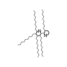 CCCCCCCCCc1cccnc1-c1nc(CCCCCCCCC)c(CCCCCCCCC)c(CCCCCCCCC)c1CCCCCCCCC